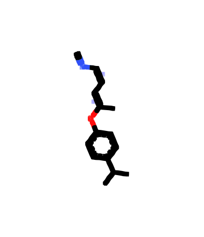 C=N/C=C\C=C(/C)Oc1ccc(C(C)C)cc1